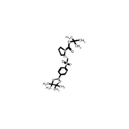 CC(C)(C)OC(=O)N1CCC[C@H]1CS(=O)(=O)c1ccc(B2OC(C)(C)C(C)(C)O2)cc1